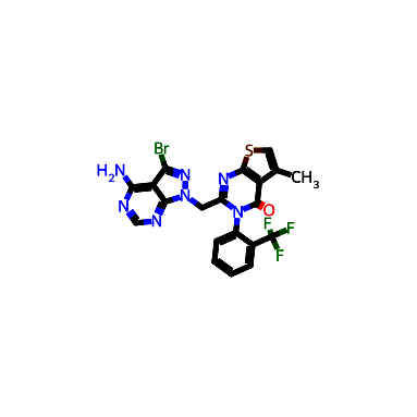 Cc1csc2nc(Cn3nc(Br)c4c(N)ncnc43)n(-c3ccccc3C(F)(F)F)c(=O)c12